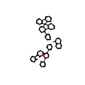 c1ccc(-n2c3ccccc3c3ccccc32)c(-c2ccc(-c3ccc(N(c4ccc(-c5cccc6c5-c5ccccc5C65c6ccccc6-c6ccccc65)cc4)c4cccc5ccccc45)cc3)cc2)c1